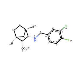 CCOC(=O)[C@@H]1[C@H]2CC[C@H](C2)[C@@H]1NCc1ccc(F)c(Cl)c1